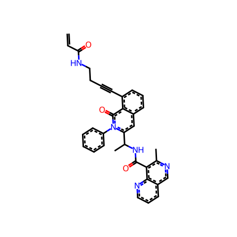 C=CC(=O)NCCC#Cc1cccc2cc(C(C)NC(=O)c3c(C)ncc4cccnc34)n(-c3ccccc3)c(=O)c12